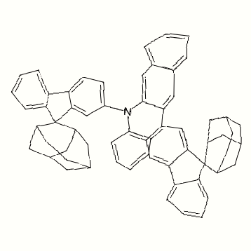 c1ccc(N(c2ccc3c(c2)C2(c4ccccc4-3)C3CC4CC(C3)CC2C4)c2cc3ccccc3cc2-c2ccc3c(c2)C2(c4ccccc4-3)C3CC4CC(C3)CC2C4)cc1